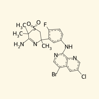 CC1(c2cc(Nc3ncc(Br)c4cc(Cl)cnc34)ccc2F)CS(=O)(=O)C(C)(C)C(N)=N1